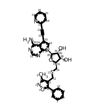 Cc1noc(-c2ccccc2)c1CSC[C@H]1O[C@@H](n2cc(C#Cc3ccccn3)c3c(N)ncnc32)[C@H](O)[C@@H]1O